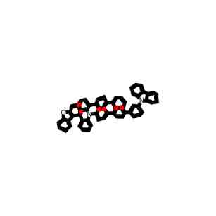 C1=C=C(c2ccccc2N(C2=CC=C(c3ccc(-c4cccc(-n5c6ccccc6c6ccccc65)c4)cc3)CC2)c2ccccc2-c2ccc(-c3ccccc3)cc2)c2c(oc3ccccc23)C=1